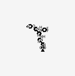 CN1CCC(Oc2ccc(-c3cnc(Nc4ccnc(-c5cnn(S(=O)(=O)C6CC6)c5)n4)cc3NC3CCC(F)(F)CC3)nc2)CC1